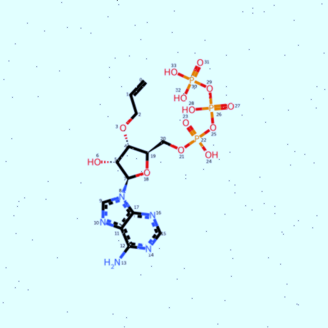 C=CCO[C@H]1[C@@H](O)[C@H](n2cnc3c(N)ncnc32)O[C@@H]1COP(=O)(O)OP(=O)(O)OP(=O)(O)O